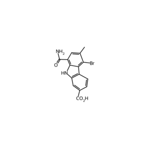 Cc1cc(C(N)=O)c2[nH]c3cc(C(=O)O)ccc3c2c1Br